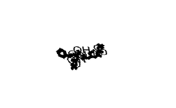 CC1CC(Cc2nc(O)c(OCc3ccccc3)c(C(=O)OC(C)(C)C)n2)CCN1C(=O)OC(C)(C)C